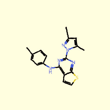 Cc1ccc(Nc2nc(-n3nc(C)cc3C)nc3sccc23)cc1